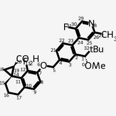 CO[C@H](c1cc(COc2ccc3c(c2F)[C@]2(CCC3)C[C@H]2C(=O)O)ccc1-c1cc(C)ncc1F)C(C)(C)C